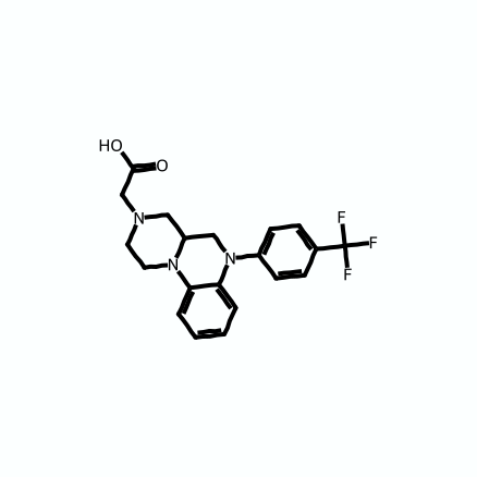 O=C(O)CN1CCN2c3ccccc3N(c3ccc(C(F)(F)F)cc3)CC2C1